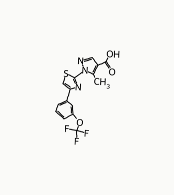 Cc1c(C(=O)O)cnn1-c1nc(-c2cccc(OC(F)(F)F)c2)cs1